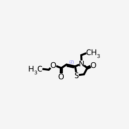 CCOC(=O)/C=C1\SCC(=O)N1CC